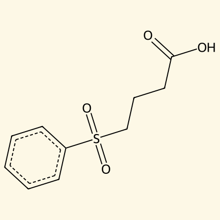 O=C(O)CCCS(=O)(=O)c1ccccc1